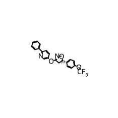 FC(F)(F)Oc1ccc([C@@H]2CC(Oc3ccc(-c4ccccc4)nc3)=NO2)cc1